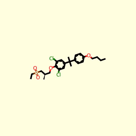 CCCCOc1ccc(C(C)(C)c2cc(Cl)c(OC[C@@H](C)CS(=O)(=O)CC)c(Cl)c2)cc1